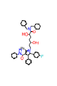 CC(C)c1c(C(=O)Nc2ccccc2)c(-c2ccccc2)c(-c2ccc(F)cc2)n1CC[C@H](O)CC[C@@H](O)C(=O)N(Cc1ccccc1)Cc1ccccc1